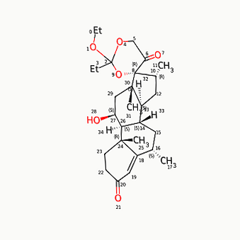 CCOC1(CC)OCC(=O)[C@@]2(O1)[C@H](C)C[C@H]1[C@@H]3C[C@H](C)C4=CC(=O)CC[C@]4(C)[C@H]3[C@@H](O)C[C@@]12C